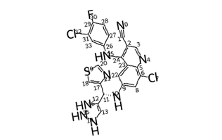 N#Cc1cnc2c(Cl)cc(N[C@H](C3=CNNN3)c3cscn3)cc2c1Nc1ccc(F)c(Cl)c1